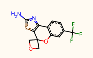 Nc1nc2c(s1)C1(COC1)Oc1cc(C(F)(F)F)ccc1-2